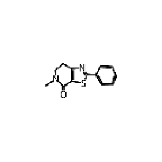 CN1CCc2nc(-c3ccccc3)sc2C1=O